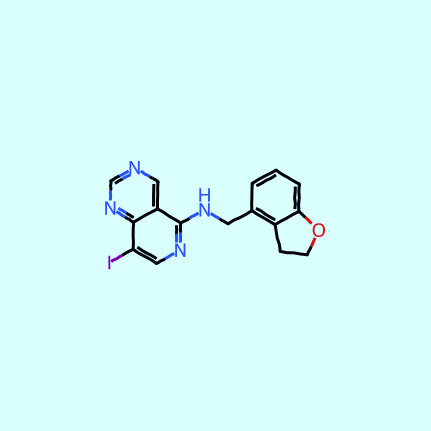 Ic1cnc(NCc2cccc3c2CCO3)c2cncnc12